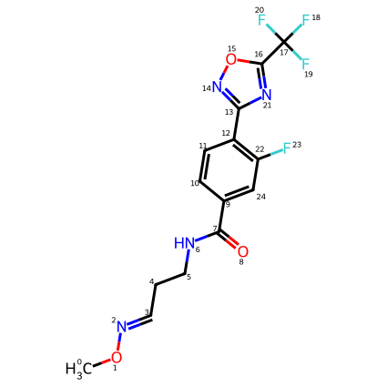 CON=CCCNC(=O)c1ccc(-c2noc(C(F)(F)F)n2)c(F)c1